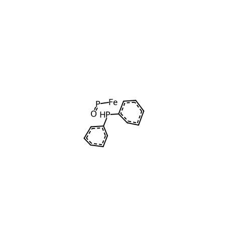 O=[P][Fe].c1ccc(Pc2ccccc2)cc1